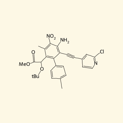 COC(=O)C(OC(C)(C)C)c1c(C)c([N+](=O)[O-])c(N)c(C#Cc2ccnc(Cl)c2)c1-c1ccc(C)cc1